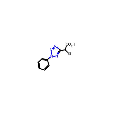 CCC(C(=O)O)c1nnn(-c2ccccc2)n1